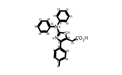 Cc1ccc(-c2nc(N(c3ccccc3)c3ccccc3)sc2CC(=O)O)cc1